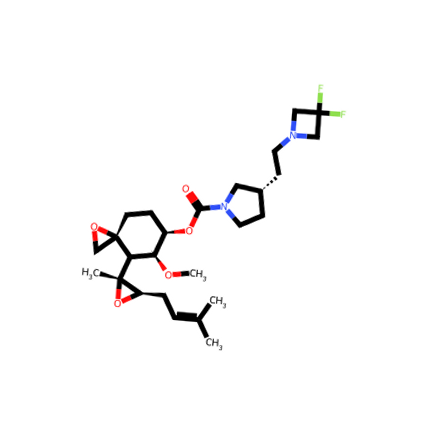 CO[C@H]1C([C@@]2(C)O[C@@H]2CC=C(C)C)[C@]2(CC[C@H]1OC(=O)N1CC[C@@H](CCN3CC(F)(F)C3)C1)CO2